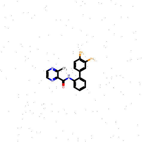 O=C(Nc1ccccc1-c1ccc(P)c(P)c1)c1nccnc1C(F)(F)F